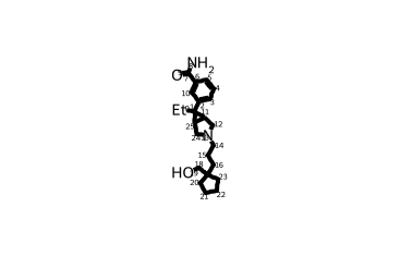 CCC1(c2cccc(C(N)=O)c2)C2CN(CCCC3(CO)CCCC3)CC21